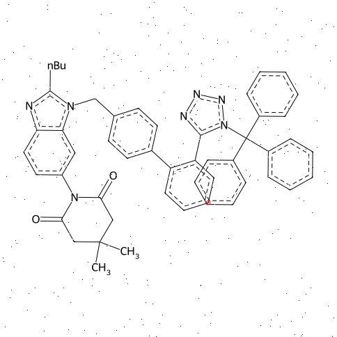 CCCCc1nc2ccc(N3C(=O)CC(C)(C)CC3=O)cc2n1Cc1ccc(-c2ccccc2-c2nnnn2C(c2ccccc2)(c2ccccc2)c2ccccc2)cc1